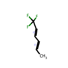 C/C=C/C=C/C(F)(F)F